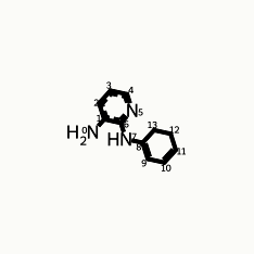 Nc1cccnc1NC1=CC=CCC1